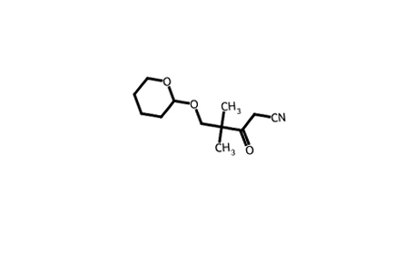 CC(C)(COC1CCCCO1)C(=O)CC#N